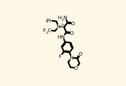 CC(C)CN(CC(F)(F)F)[C@@H](C(N)=O)C(=O)Nc1ccc(N2CCOCC2=O)c(F)c1